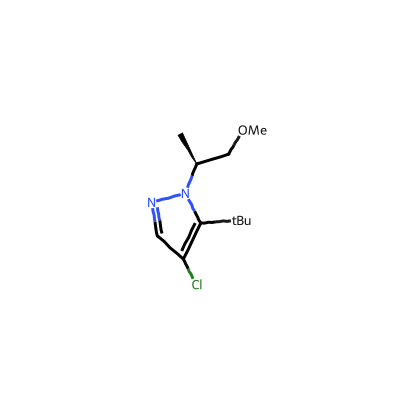 COC[C@H](C)n1ncc(Cl)c1C(C)(C)C